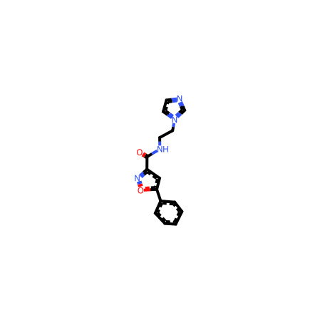 O=C(NCCn1ccnc1)c1cc(-c2ccccc2)on1